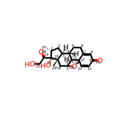 C[C@@H]1C[C@H]2[C@@H]3CCC4=CC(=O)C=C[C@]4(C)[C@]34O[C@H]4C[C@]2(C)[C@@]1(O)C(=O)CO